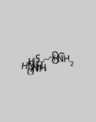 C=CC(N)OC(=O)CCCC[C@@H]1SC[C@@H]2NC(=O)N[C@@H]21